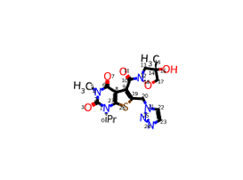 CC(C)n1c(=O)n(C)c(=O)c2c(C(=O)N3C[C@](C)(O)CO3)c(Cn3ccnn3)sc21